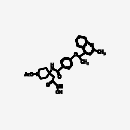 CC(=O)ON1CCC(CC(=O)NO)(NC(=O)c2ccc(OC(C)c3cc(C)nc4ccccc34)cc2)CC1